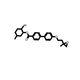 CC1CCC(C(C)C)C(OC(=O)c2ccc(-c3ccc(OCCC4(C)CO4)cc3)cc2)C1